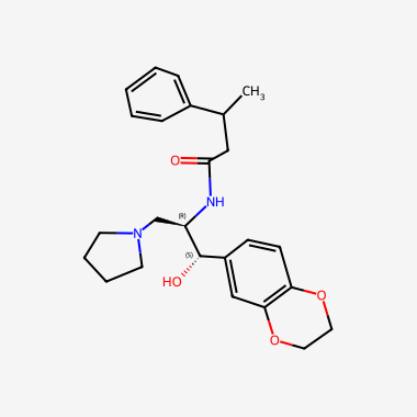 CC(CC(=O)N[C@H](CN1CCCC1)[C@@H](O)c1ccc2c(c1)OCCO2)c1ccccc1